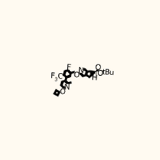 Cc1nc(OC2CCC2)ccc1-c1cc(COc2cc3c(cn2)C2[C@@H](C3)[C@@H]2C(=O)OC(C)(C)C)c(F)cc1C(F)(F)F